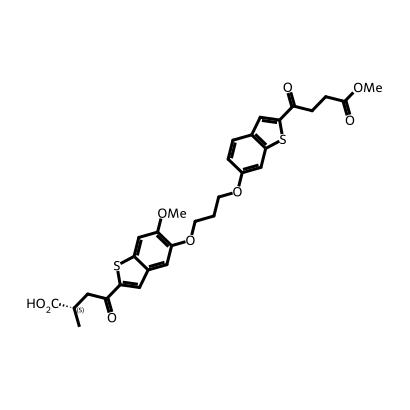 COC(=O)CCC(=O)c1cc2ccc(OCCCOc3cc4cc(C(=O)C[C@H](C)C(=O)O)sc4cc3OC)cc2s1